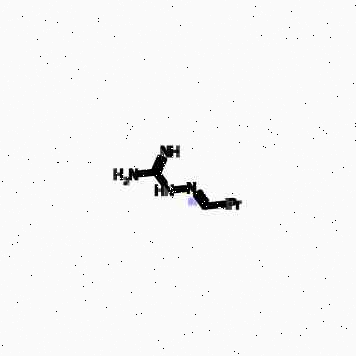 CC(C)/C=N/NC(=N)N